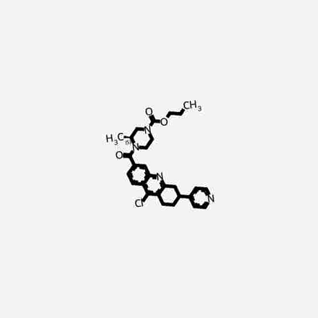 CCCOC(=O)N1CCN(C(=O)c2ccc3c(Cl)c4c(nc3c2)CC(c2ccncc2)CC4)[C@@H](C)C1